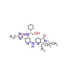 C=CCN1C(=O)c2ccc(Nc3cc(N[C@H](CO)c4ccccc4)c(-c4nc(C)no4)cn3)nc2C1(C)C